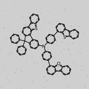 c1ccc(C2(c3ccccc3)c3ccc(N(c4ccc(-c5cccc6c5oc5ccccc56)cc4)c4ccc(-c5cccc6c5sc5ccccc56)cc4)cc3-c3c2ccc2c3sc3ccccc32)cc1